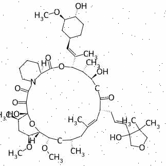 CO[C@H]1C[C@@H](C)C/C(C)=C/[C@@H](C/C=C/C2(O)COCC2(C)C)C(=O)C[C@H](O)[C@@H](C)[C@@H](/C(C)=C/[C@@H]2CC[C@@H](O)[C@H](OC)C2)OC(=O)[C@@H]2CCCCN2C(=O)C(=O)[C@]2(O)O[C@H]1[C@@H](OC)C[C@H]2C